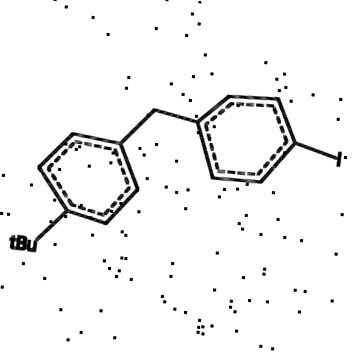 CC(C)(C)c1ccc(Cc2ccc(I)cc2)cc1